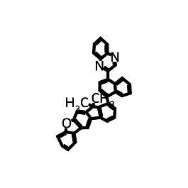 CC1(C)c2cc3oc4ccccc4c3cc2-c2cccc(-c3ccc(-c4cnc5ccccc5n4)c4ccccc34)c21